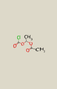 CC(=O)OC(C)OC(=O)Cl